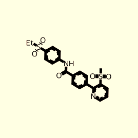 CCS(=O)(=O)c1ccc(NC(=O)c2ccc(-c3ncccc3S(C)(=O)=O)cc2)cc1